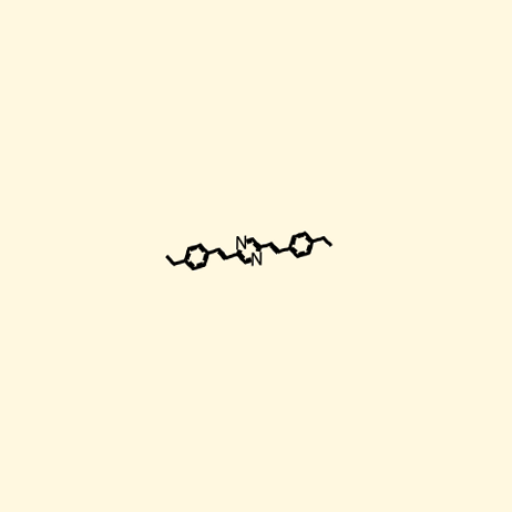 CCc1ccc(C=Cc2cnc(C=Cc3ccc(CC)cc3)cn2)cc1